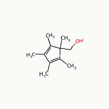 CC1=C(C)C(C)(CO)C(C)=C1C